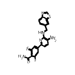 NC(=O)c1c(F)cc(-c2ccc(N)c(NCc3ccc4ncsc4c3)n2)cc1F